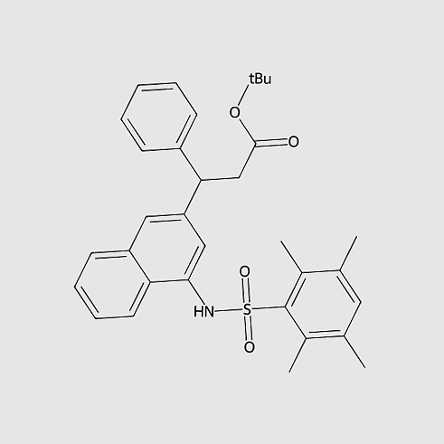 Cc1cc(C)c(C)c(S(=O)(=O)Nc2cc(C(CC(=O)OC(C)(C)C)c3ccccc3)cc3ccccc23)c1C